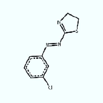 Clc1cccc(N=NC2=NCCS2)c1